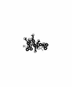 CCC(CC)(Cc1cc(C(C)(C)P2(=O)Oc3ccccc3-c3ccccc32)ccc1OCC1CO1)c1cc(C(C)(C)c2ccc(OCC3CO3)c(CC(CC)(CC)c3cc(C(C)(C)P4(=O)Oc5ccccc5-c5ccccc54)ccc3OCC3CO3)c2)ccc1OCC1CO1